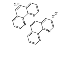 [Cl-].[Cl-].[Cu+2].c1cnc2c(c1)ccc1cccnc12.c1cnc2c(c1)ccc1cccnc12